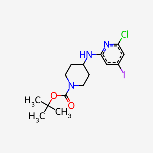 CC(C)(C)OC(=O)N1CCC(Nc2cc(I)cc(Cl)n2)CC1